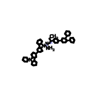 C=C/C(=C\N=C(/N)n1c2ccccc2c2cc(-c3ccc4c(c3)c3ccccc3n4-c3ccccc3)ccc21)c1ccc(-c2ccc(-c3ccccc3)c(-c3ccccc3)c2)cc1